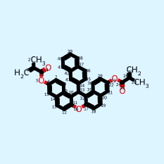 C=C(C)C(=O)Oc1ccc2c3c(ccc2c1)Oc1ccc2cc(OC(=O)C(=C)C)ccc2c1C3c1ccc2ccccc2c1